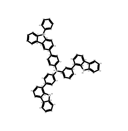 c1ccc(-n2c3ccccc3c3cc(-c4ccc(N(c5ccc(-c6cccc7c6oc6ccccc67)cc5)c5cccc(-c6cccc7c6sc6ccccc67)c5)cc4)ccc32)cc1